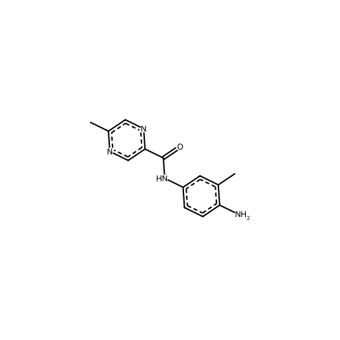 Cc1cnc(C(=O)Nc2ccc(N)c(C)c2)cn1